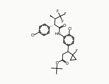 C[C@H]([C@H](C(=O)Nc1cc(C(CC(=O)OC(C)(C)C)C2(F)CC2)ccc1Cl)c1ccc(Cl)cc1)C(F)(F)F